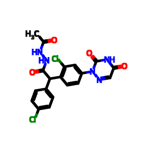 CC(=O)NNC(=O)C(c1ccc(Cl)cc1)c1ccc(-n2ncc(=O)[nH]c2=O)cc1Cl